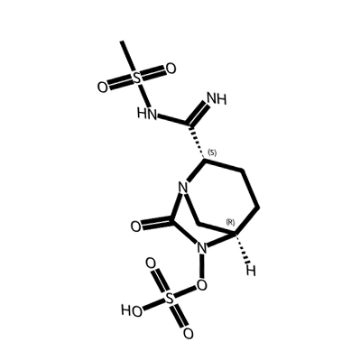 CS(=O)(=O)NC(=N)[C@@H]1CC[C@@H]2CN1C(=O)N2OS(=O)(=O)O